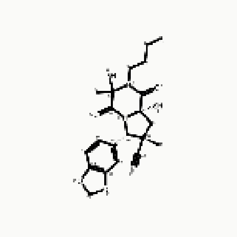 CCCCN1C(=O)[C@@]2(S)C[C@](C)(C#N)[C@H](c3ccc4c(c3)OCO4)N2C(=O)C1(C)S